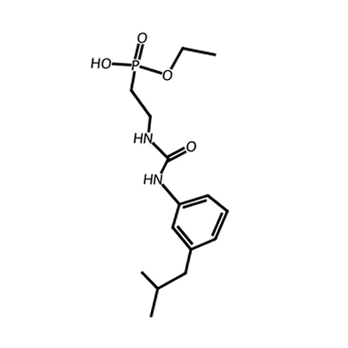 CCOP(=O)(O)CCNC(=O)Nc1cccc(CC(C)C)c1